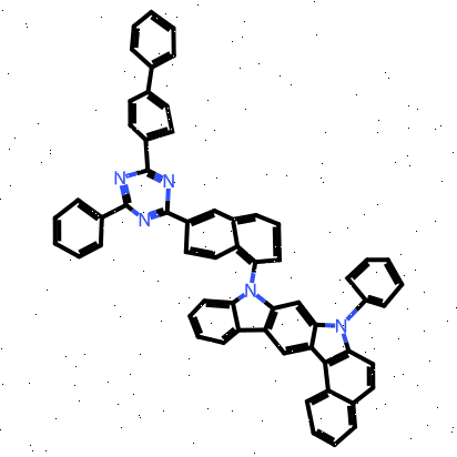 c1ccc(-c2ccc(-c3nc(-c4ccccc4)nc(-c4ccc5c(-n6c7ccccc7c7cc8c9c%10ccccc%10ccc9n(-c9ccccc9)c8cc76)cccc5c4)n3)cc2)cc1